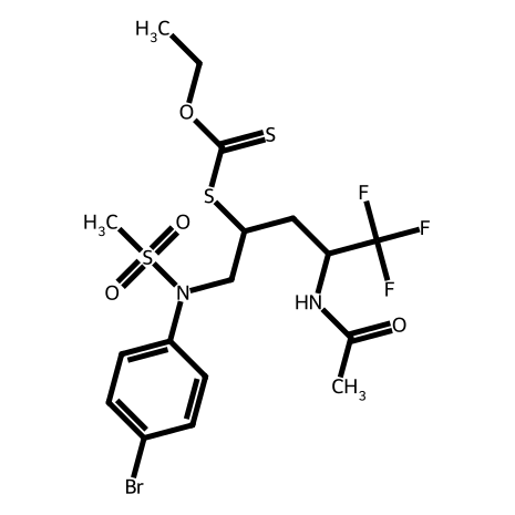 CCOC(=S)SC(CC(NC(C)=O)C(F)(F)F)CN(c1ccc(Br)cc1)S(C)(=O)=O